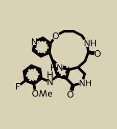 COc1c(F)cccc1Nc1c2[nH]c3c1C(=O)NCC3CC(=O)NCCCOc1cnccc1-2